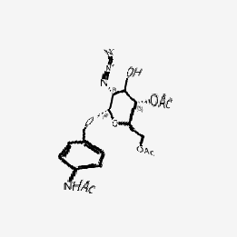 CC(=O)Nc1ccc(O[C@H]2OC(COC(C)=O)[C@@H](OC(C)=O)C(O)[C@H]2N=[N+]=[N-])cc1